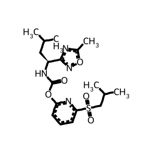 Cc1nc([C@H](CC(C)C)NC(=O)Oc2cccc(S(=O)(=O)CC(C)C)n2)no1